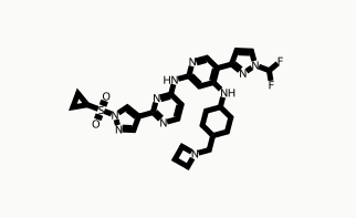 O=S(=O)(C1CC1)n1cc(-c2nccc(Nc3cc(NC4CCC(CN5CCC5)CC4)c(-c4ccn(C(F)F)n4)cn3)n2)cn1